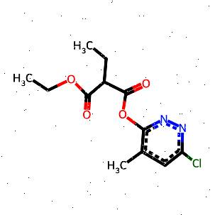 CCOC(=O)C(CC)C(=O)Oc1nnc(Cl)cc1C